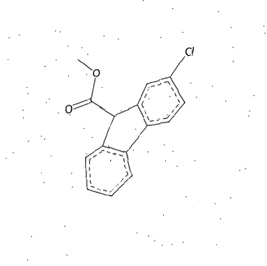 COC(=O)C1c2ccccc2-c2ccc(Cl)cc21